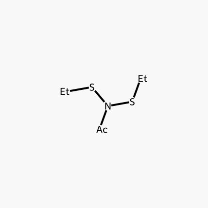 CCSN(SCC)C(C)=O